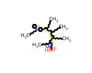 [C-]#[N+]/C(=C\c1sc(-c2sc(-c3sc(-c4sc(-c5ccc6c(c5)Sc5ccccc5N6CCCCCC)cc4CCCCCC)cc3CCCCCC)cc2CCCCCC)cc1CCCCCC)C(=O)O